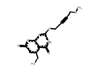 CCc1cc(=O)oc2nc(OCC#CCOC)[nH]c(=O)c12